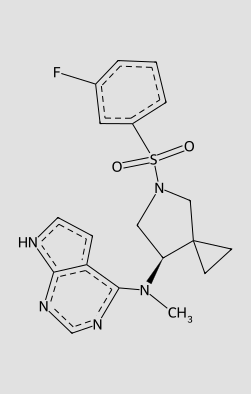 CN(c1ncnc2[nH]ccc12)[C@H]1CN(S(=O)(=O)c2cccc(F)c2)CC12CC2